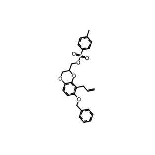 C=CCc1c(OCc2ccccc2)ccc2c1OC(COS(=O)(=O)c1ccc(C)cc1)CO2